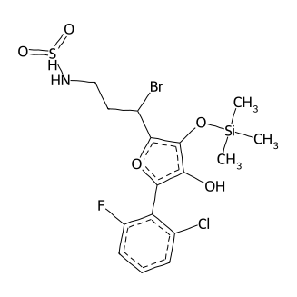 C[Si](C)(C)Oc1c(C(Br)CCN[SH](=O)=O)oc(-c2c(F)cccc2Cl)c1O